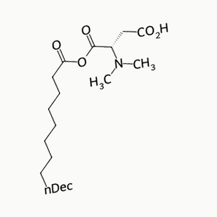 CCCCCCCCCCCCCCCCCC(=O)OC(=O)[C@H](CC(=O)O)N(C)C